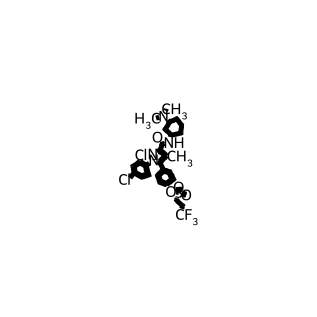 Cc1c(C(=O)NC2CCCC(N(C)C)C2)nn(-c2ccc(Cl)cc2Cl)c1-c1ccc(OS(=O)(=O)CCC(F)(F)F)cc1